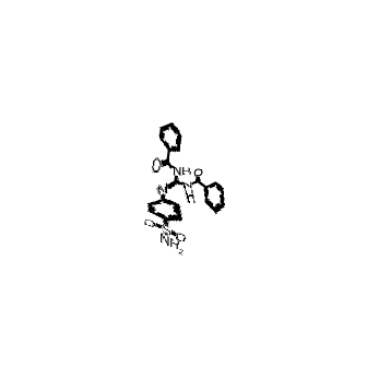 NS(=O)(=O)c1ccc(N=C(NC(=O)c2ccccc2)NC(=O)c2ccccc2)cc1